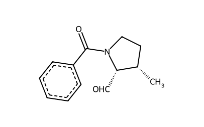 C[C@H]1CCN(C(=O)c2ccccc2)[C@H]1C=O